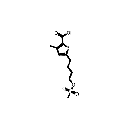 Cc1cc(CCCCOS(C)(=O)=O)sc1C(=O)O